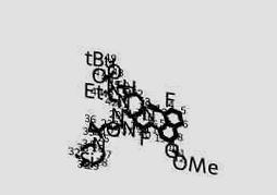 C#Cc1c(F)ccc2cc(OCOC)cc(-c3nc4c5c(nc(OCC6(CN7CCC[Si](C)(C)CC7)CC6)nc5c3F)N3C[C@@H](CC)N(C(=O)OC(C)(C)C)C[C@H]3CC4)c12